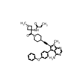 C=CC(=O)NC1(C(=O)N2CCC(C#Cc3c(-c4ccc(Oc5ccccc5)cc4)c4c(N)ncnc4n3C)CC2)CN(C)C1